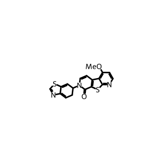 COc1ccnc2sc3c(=O)n(C4C=c5scnc5=CC4)ccc3c12